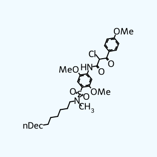 CCCCCCCCCCCCCCCCN(C)S(=O)(=O)c1cc(OC)c(NC(=O)C(Cl)C(=O)c2ccc(OC)cc2)cc1OC